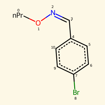 CCCO/N=[C]\c1ccc(Br)cc1